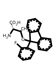 CC(OC1(c2ccccc2F)c2ccccc2-c2ccccc21)[C@H](N)C(=O)O